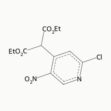 CCOC(=O)C(C(=O)OCC)c1cc(Cl)ncc1[N+](=O)[O-]